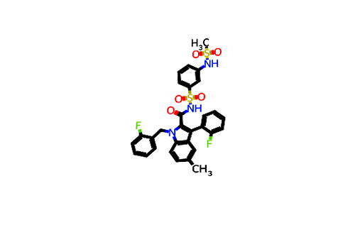 Cc1ccc2c(c1)c(-c1ccccc1F)c(C(=O)NS(=O)(=O)c1cccc(NS(C)(=O)=O)c1)n2Cc1ccccc1F